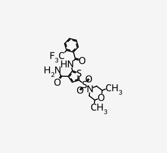 CC1CN(S(=O)(=O)c2cc(C(N)=O)c(NC(=O)c3ccccc3C(F)(F)F)s2)CC(C)O1